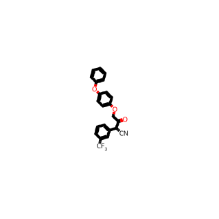 N#CC(C(=O)COc1ccc(Oc2ccccc2)cc1)c1cccc(C(F)(F)F)c1